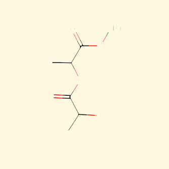 CCCCOC(=O)C(C)OC(=O)C(C)O